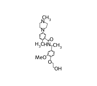 COc1cc(C(C)NC(=O)c2cc(N3CCN(C)CC3)ccc2C)ccc1OCCO